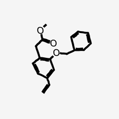 C=Cc1ccc(CC(=O)OC)c(OCc2ccccc2)c1